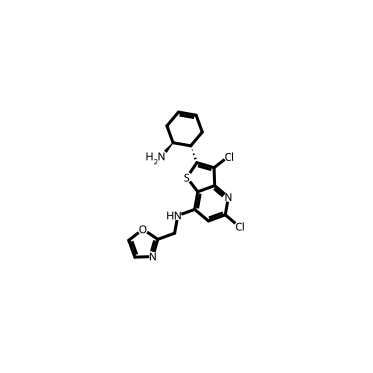 N[C@H]1CC=CC[C@@H]1c1sc2c(NCc3ncco3)cc(Cl)nc2c1Cl